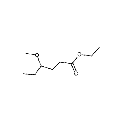 CCOC(=O)CCC(CC)OC